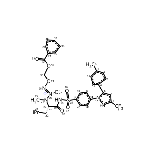 Cc1ccc(-c2cc(C(F)(F)F)nn2-c2ccc(S(=O)(=O)NC(=O)[C@H](CC(C)C)N(C)/[N+]([O-])=N/OCOC(=O)c3ccccc3)cc2)cc1